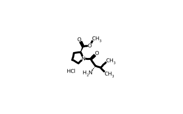 COC(=O)[C@@H]1CCCN1C(=O)[C@@H](N)C(C)C.Cl